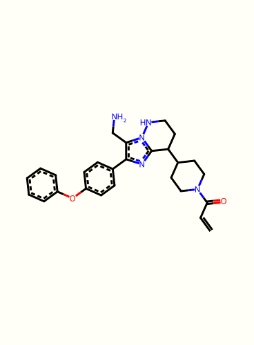 C=CC(=O)N1CCC(C2CCNn3c2nc(-c2ccc(Oc4ccccc4)cc2)c3CN)CC1